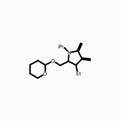 C=C1C(=C)N(C(C)C)C(COC2CCCCO2)C1CC